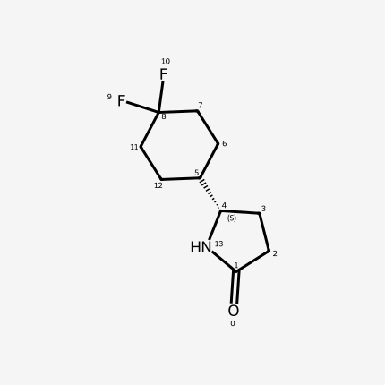 O=C1CC[C@@H](C2CCC(F)(F)CC2)N1